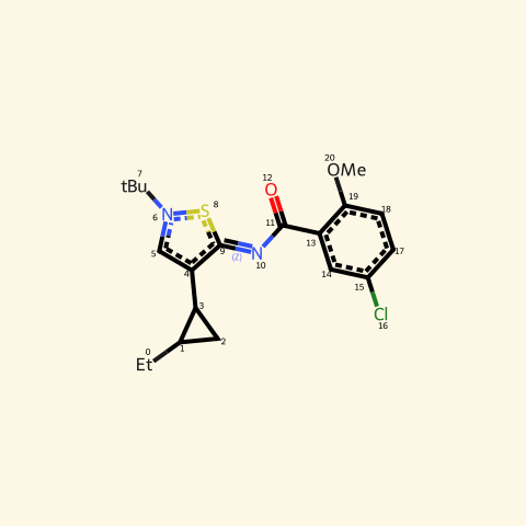 CCC1CC1c1cn(C(C)(C)C)s/c1=N\C(=O)c1cc(Cl)ccc1OC